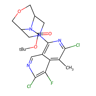 Cc1c(Cl)nc(N2CC3COCC(C2)N3C(=O)OC(C)(C)C)c2cnc(Cl)c(F)c12